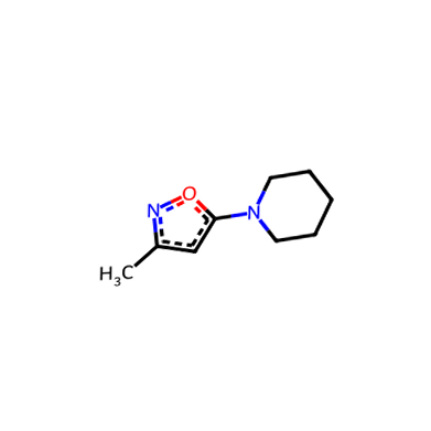 Cc1cc(N2CCCCC2)on1